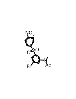 CC(=O)N(C)c1cc(Br)cc(S(=O)(=O)c2ccc([N+](=O)[O-])cc2)c1